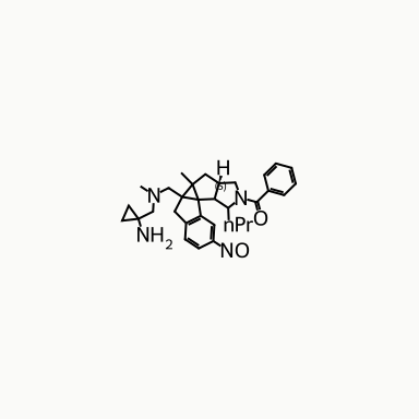 CCCC1C2[C@@H](CN1C(=O)c1ccccc1)CC1(C)C3(CN(C)CC4(N)CC4)Cc4ccc(N=O)cc4C213